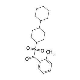 Cc1ccccc1C(=O)S(=O)(=O)C1CCC(C2CCCCC2)CC1